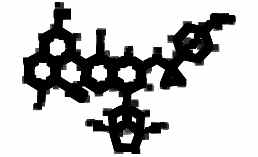 C#Cc1c(F)ccc2cc(O)cc(-c3ncc4c(N5C[C@H]6CC[C@@H](C5)N6)nc(OC5(C67CCC(OC)(CC6)CC7)CC5)nc4c3F)c12